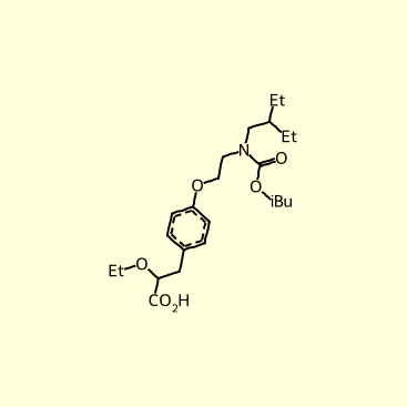 CCOC(Cc1ccc(OCCN(CC(CC)CC)C(=O)OC(C)CC)cc1)C(=O)O